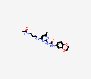 CC(=O)NCCCNc1cc(C)nc(NC(=O)Nc2ccc3c(c2)OCCO3)n1